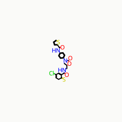 O=C(NCC1CN(c2ccc(NC(=O)c3cccs3)cc2)C(=O)O1)C1=CC(Cl)=CCC1=S